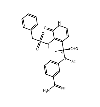 CC(=O)N(c1cccc(C(=N)N)c1)[C@@](C)(C=O)c1cc[nH]c(=O)c1NS(=O)(=O)Cc1ccccc1